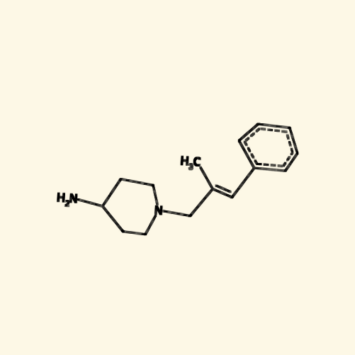 C/C(=C\c1ccccc1)CN1CCC(N)CC1